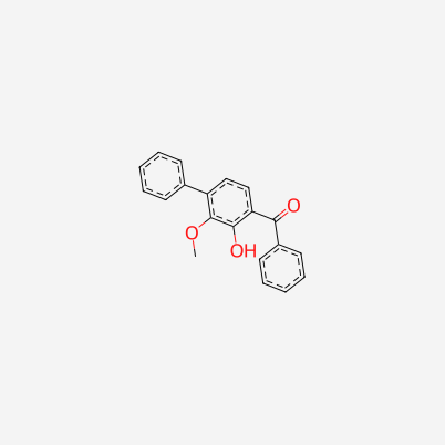 COc1c(-c2ccccc2)ccc(C(=O)c2ccccc2)c1O